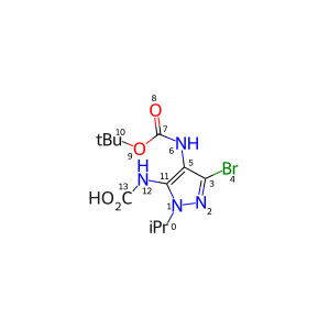 CC(C)n1nc(Br)c(NC(=O)OC(C)(C)C)c1NC(=O)O